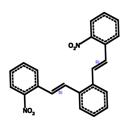 O=[N+]([O-])c1ccccc1/C=C/c1ccccc1/C=C/c1ccccc1[N+](=O)[O-]